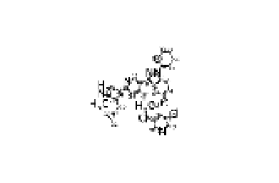 C[C@@H](Oc1ccc2c(c1)c(-c1cnc(N3CC(C)(N)C3CC3CC3)cc1F)nn2C1CCCCO1)c1c(Cl)cncc1Cl